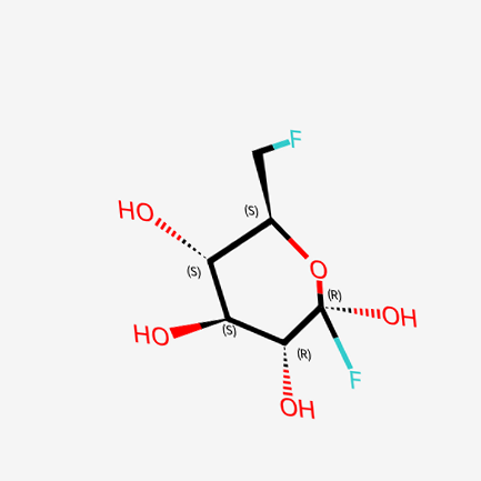 O[C@H]1[C@H](O)[C@@H](CF)O[C@@](O)(F)[C@@H]1O